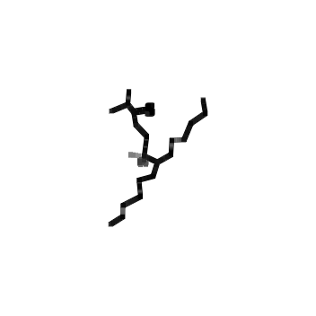 CCCCCCC(CCCCCC)[C@H](C)CCC(=S)C(C)C